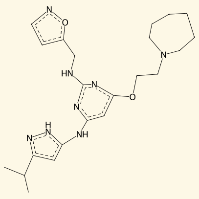 CC(C)c1cc(Nc2cc(OCCN3CCCCCC3)nc(NCc3ccno3)n2)[nH]n1